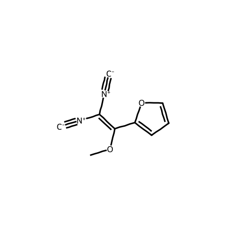 [C-]#[N+]C([N+]#[C-])=C(OC)c1ccco1